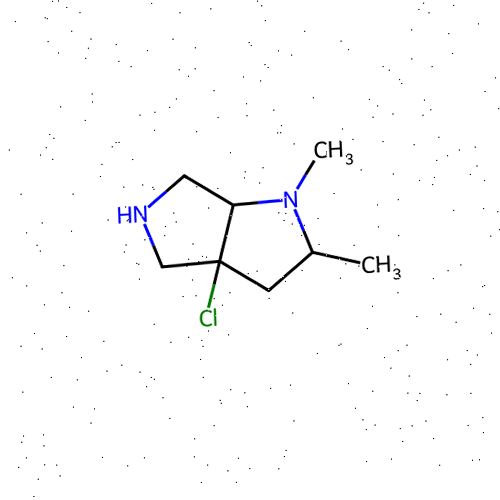 CC1CC2(Cl)CNCC2N1C